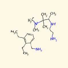 CC(NCCN)C(C)(C)N(C)C.CCc1cccc(CN)c1CC